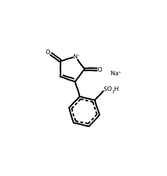 O=C1C=C(c2ccccc2S(=O)(=O)O)C(=O)[N-]1.[Na+]